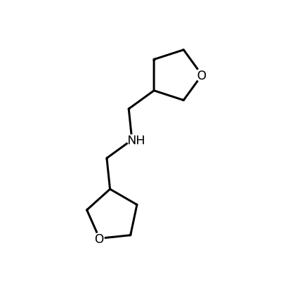 C1CC(CNCC2CCOC2)CO1